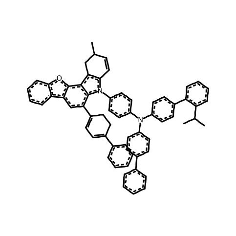 CC1C=Cc2c(c3c4oc5ccccc5c4cc(C4=CC=C(c5ccccc5)CC4)c3n2-c2ccc(N(c3ccc(-c4ccccc4)cc3)c3ccc(-c4ccccc4C(C)C)cc3)cc2)C1